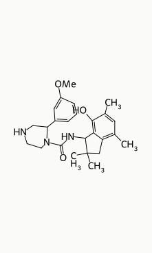 COc1cccc(C2CNCCN2C(=O)NC2c3c(O)c(C)cc(C)c3CC2(C)C)c1